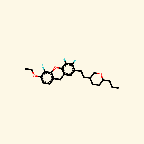 CCCC1CCC(CCc2cc3c(c(F)c2F)Oc2c(ccc(OCC)c2F)C3)CO1